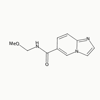 COCNC(=O)c1ccc2nccn2c1